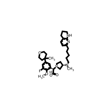 COc1c(F)cc(C2(C)CCOCC2)cc1[C@H](C(=O)O)N1CC[C@@H](N(C)CCCCCc2ccc3c(n2)NCCC3)C1